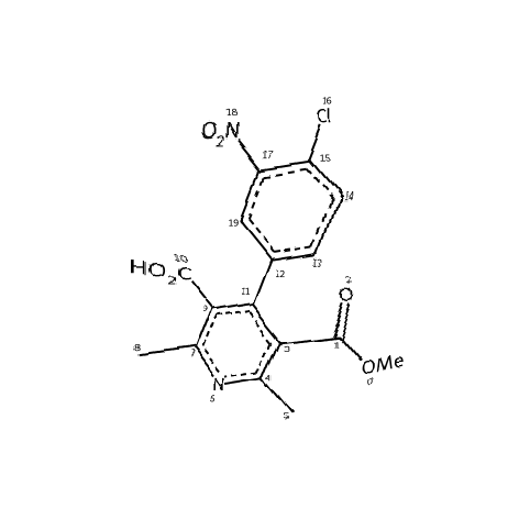 COC(=O)c1c(C)nc(C)c(C(=O)O)c1-c1ccc(Cl)c([N+](=O)[O-])c1